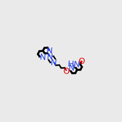 O=c1ccc2ccc(OCCCCN3CCN(c4nccc5cccnc45)CC3)nc2[nH]1